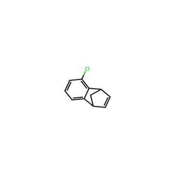 Clc1cccc2c1C1C=CC2C1